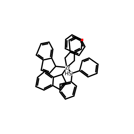 C1=C[CH]([Zr]([CH2]c2ccccc2)([CH2]c2ccccc2)([CH]2C=Cc3ccccc32)[SiH](c2ccccc2)c2ccccc2)c2ccccc21